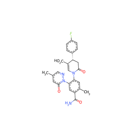 Cc1cnn(-c2cc(C(N)=O)c(C)cc2N2C=C(C(=O)O)[C@H](c3ccc(F)cc3)CC2=O)c(=O)c1